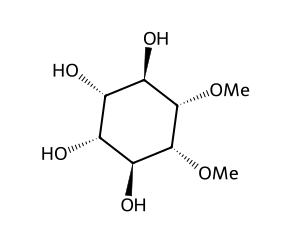 CO[C@@H]1[C@@H](O)[C@H](O)[C@H](O)[C@@H](O)[C@@H]1OC